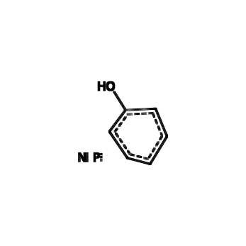 Oc1ccccc1.[Ni].[P]